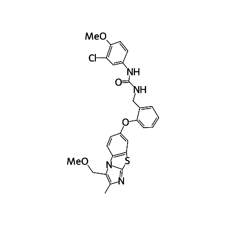 COCc1c(C)nc2sc3cc(Oc4ccccc4CNC(=O)Nc4ccc(OC)c(Cl)c4)ccc3n12